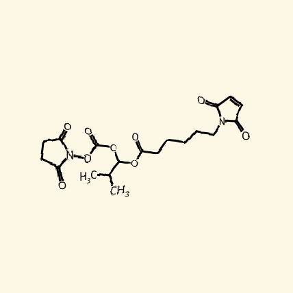 CC(C)C(OC(=O)CCCCCN1C(=O)C=CC1=O)OC(=O)ON1C(=O)CCC1=O